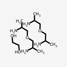 CC(N)COCC(C)N.CC(N)COCC(C)N.OCCO